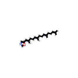 CC(C)=CCC/C(C)=C/CC/C(C)=C/CC/C(C)=C/c1cnco1